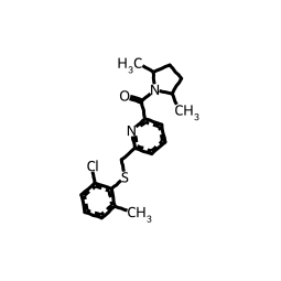 Cc1cccc(Cl)c1SCc1cccc(C(=O)N2C(C)CCC2C)n1